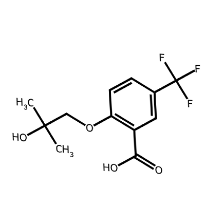 CC(C)(O)COc1ccc(C(F)(F)F)cc1C(=O)O